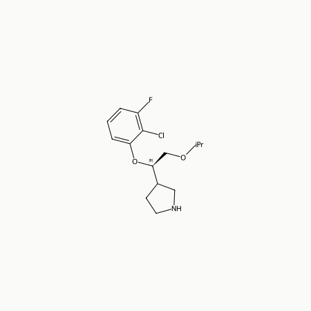 CC(C)OC[C@H](Oc1cccc(F)c1Cl)C1CCNC1